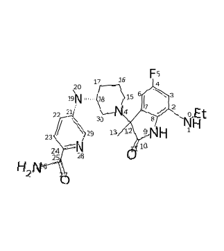 CCNc1cc(F)cc2c1NC(=O)C2(C)N1CCC[C@@H](N(C)c2ccc(C(N)=O)nc2)C1